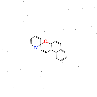 CN1C=CC=CC12C=Cc1c(ccc3ccccc13)O2